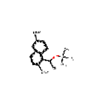 COc1ccc2c(C(C#N)O[Si](C)(C)C)c(OC)ccc2c1